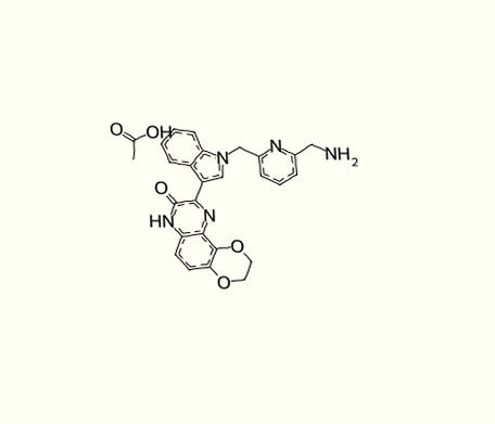 CC(=O)O.NCc1cccc(Cn2cc(-c3nc4c5c(ccc4[nH]c3=O)OCCO5)c3ccccc32)n1